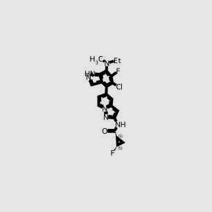 CCN(C)c1c(F)c(Cl)c(-c2ccn3nc(NC(=O)[C@@H]4C[C@@H]4F)cc3c2)c2cn[nH]c12